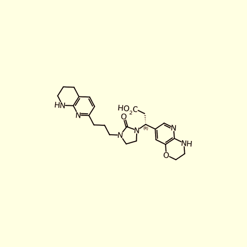 O=C(O)C[C@H](c1cnc2c(c1)OCCN2)N1CCN(CCCc2ccc3c(n2)NCCC3)C1=O